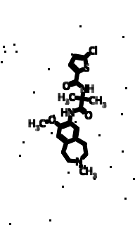 COc1cc2c(cc1NC(=O)C(C)(C)NC(=O)c1ccc(Cl)s1)CCN(C)CC2